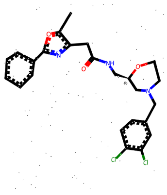 Cc1oc(-c2ccccc2)nc1CC(=O)NC[C@@H]1CN(Cc2ccc(Cl)c(Cl)c2)CCO1